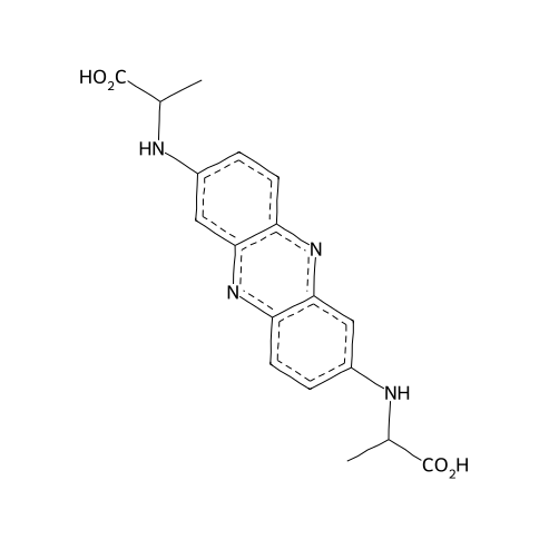 CC(Nc1ccc2nc3cc(NC(C)C(=O)O)ccc3nc2c1)C(=O)O